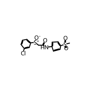 CS(=O)(=O)c1ccc(NC(=O)C[S+]([O-])c2cccc(Cl)c2)cc1